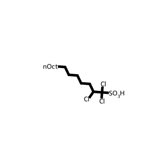 CCCCCCCCCCCCCC(Cl)C(Cl)(Cl)S(=O)(=O)O